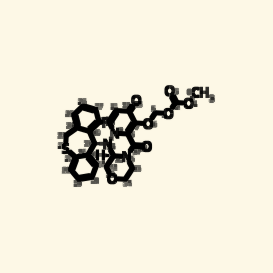 COC(=O)OCOc1c2n(ccc1=O)N([C@@H]1c3ccccc3SCc3cccc(F)c31)[C@@H]1COCCN1C2=O